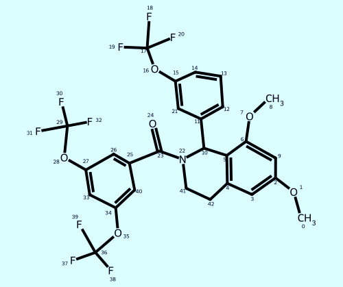 COc1cc2c(c(OC)c1)C(c1cccc(OC(F)(F)F)c1)N(C(=O)c1cc(OC(F)(F)F)cc(OC(F)(F)F)c1)CC2